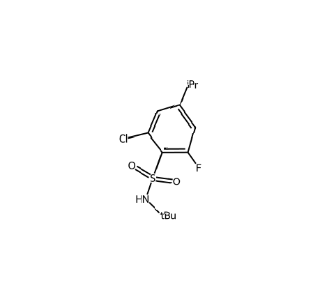 CC(C)c1cc(F)c(S(=O)(=O)NC(C)(C)C)c(Cl)c1